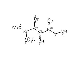 CO[C@@H](C(=O)O)[C@@H](O)[C@H](O)[C@H](O)CO